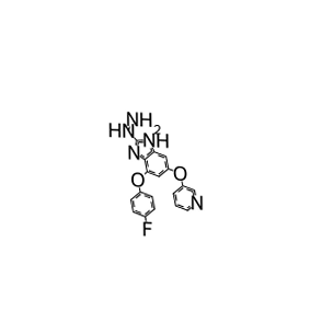 NNc1nc2c(Oc3ccc(F)cc3)cc(Oc3cccnc3)cc2[nH]1